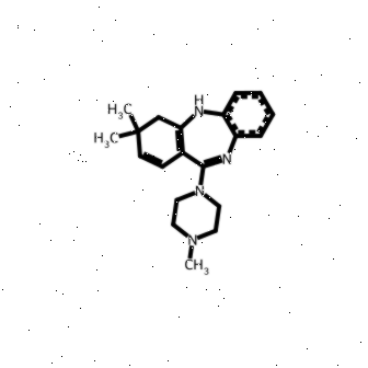 CN1CCN(C2=Nc3ccccc3NC3=C2C=CC(C)(C)C3)CC1